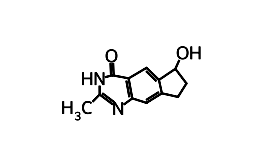 Cc1nc2cc3c(cc2c(=O)[nH]1)C(O)CC3